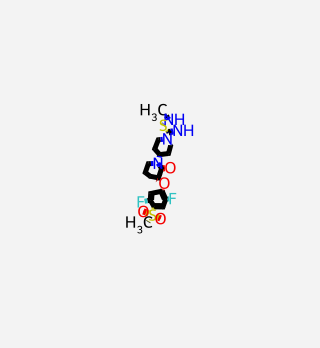 CNSC(=N)N1CCC(N2CCC[C@H](Oc3cc(F)c(S(C)(=O)=O)cc3F)C2=O)CC1